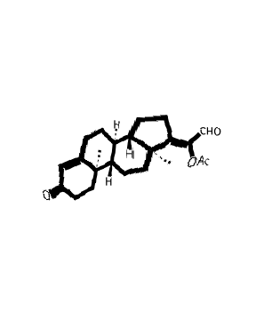 CC(=O)O/C(C=O)=C1/CC[C@H]2[C@@H]3CCC4=CC(=O)CC[C@]4(C)[C@H]3CC[C@]12C